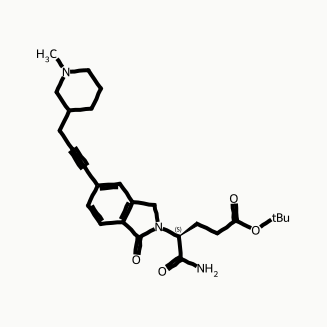 CN1CCCC(CC#Cc2ccc3c(c2)CN([C@@H](CCC(=O)OC(C)(C)C)C(N)=O)C3=O)C1